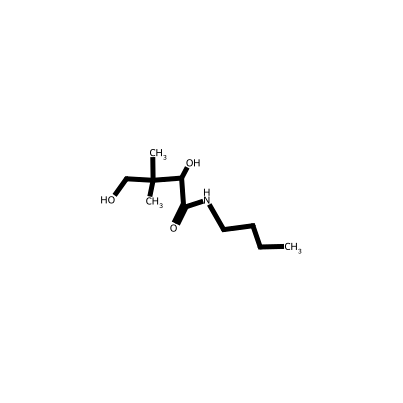 CCCCNC(=O)C(O)C(C)(C)CO